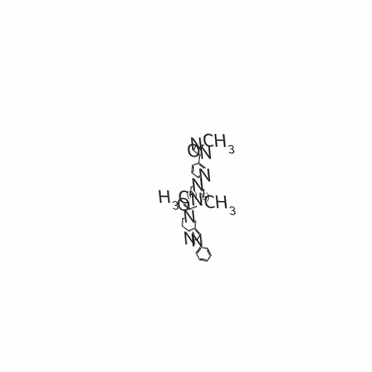 Cc1noc(-c2ccc(N3C[C@@H](C)N(CC(=O)N4CCc5nn(-c6ccccc6)cc5C4)[C@@H](C)C3)nc2)n1